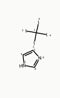 IC(I)(I)I.c1c[nH]cn1